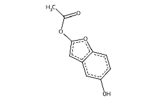 CC(=O)Oc1cc2cc(O)ccc2o1